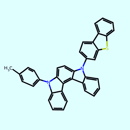 Cc1ccc(-n2c3ccccc3c3c4c5ccccc5n(-c5ccc6c(c5)sc5ccccc56)c4ccc32)cc1